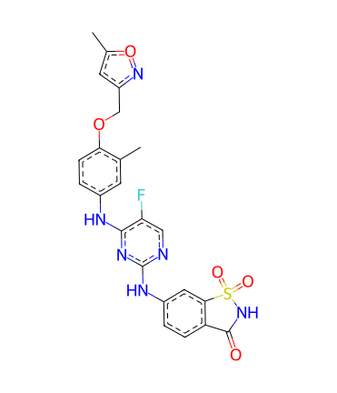 Cc1cc(COc2ccc(Nc3nc(Nc4ccc5c(c4)S(=O)(=O)NC5=O)ncc3F)cc2C)no1